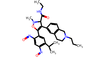 CCCN1CCc2cc(C3=C(c4cc(C(C)C)c(N=O)cc4N=O)ON(C)C3C(=O)NCC)ccc2C1